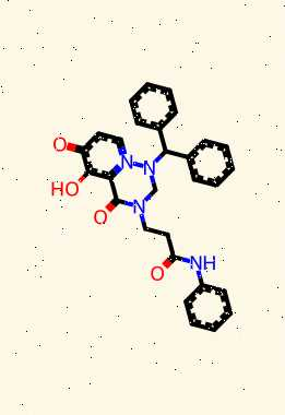 O=C(CCN1CN(C(c2ccccc2)c2ccccc2)n2ccc(=O)c(O)c2C1=O)Nc1ccccc1